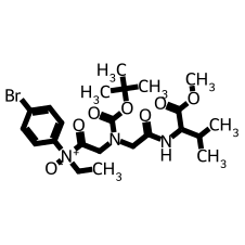 CC[N+]([O-])(C(=O)CN(CC(=O)NC(C(=O)OC)C(C)C)C(=O)OC(C)(C)C)c1ccc(Br)cc1